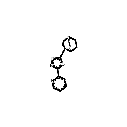 c1cnc(-c2nnc(N3CCN4CCC3CC4)o2)nc1